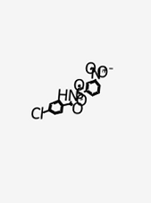 O=C(NS(=O)(=O)c1cccc([N+](=O)[O-])c1)c1ccc(Cl)cc1